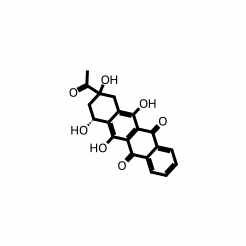 CC(=O)C1(O)Cc2c(O)c3c(c(O)c2[C@H](O)C1)C(=O)c1ccccc1C3=O